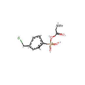 CNC(=O)OS(=O)(=O)c1ccc(CBr)cc1